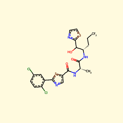 C[C@H](NC(=O)c1cnc(-c2cc(Cl)ccc2Cl)s1)C(=O)N[C@@H](CCC(F)(F)F)C(O)c1nccs1